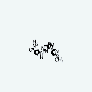 COc1ccc(-n2nnc3cnc(N[C@@H]4CC[C@@H](C(N)=O)C4)nc32)cn1